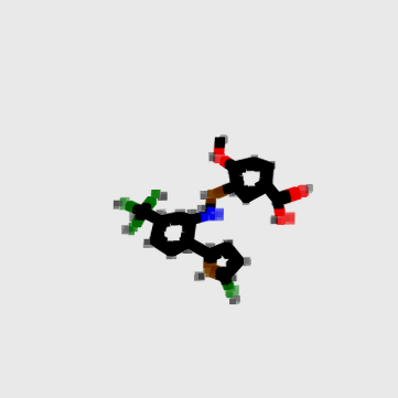 COc1ccc(C(=O)O)cc1SNc1cc(C(F)(F)F)ccc1-c1ccc(Cl)s1